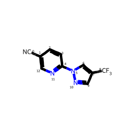 N#Cc1ccc(-n2cc(C(F)(F)F)cn2)nc1